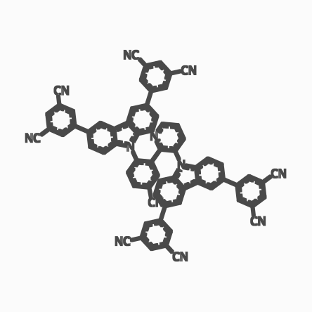 N#Cc1cc(C#N)cc(-c2ccc3c(c2)c2cc(-c4cc(C#N)cc(C#N)c4)ccc2n3-c2ccc(C#N)cc2-c2ncccc2-n2c3ccc(-c4cc(C#N)cc(C#N)c4)cc3c3cc(-c4cc(C#N)cc(C#N)c4)ccc32)c1